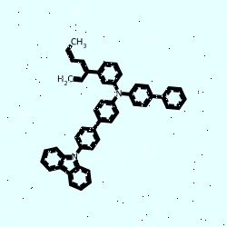 C=C/C(=C\C=C/C)c1cccc(N(c2ccc(-c3ccccc3)cc2)c2ccc(-c3ccc(-n4c5ccccc5c5ccccc54)cc3)cc2)c1